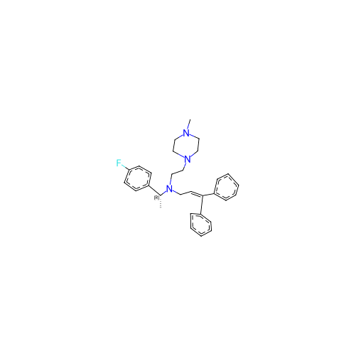 C[C@H](c1ccc(F)cc1)N(CC=C(c1ccccc1)c1ccccc1)CCN1CCN(C)CC1